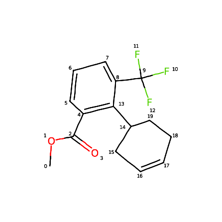 COC(=O)c1cccc(C(F)(F)F)c1C1CC=CCC1